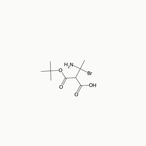 CC(C)(C)OC(=O)C(C(=O)O)C(C)(N)Br